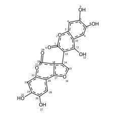 O=c1oc2cc(O)c(O)cc2c(O)c1-c1coc2c1c(=O)oc1cc(O)c(O)cc12